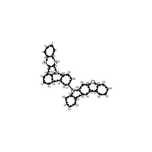 c1ccc2nc3c(nc2c1)c1cccc2c4cc(-n5c6ccccc6c6cc7c(cc65)oc5ccccc57)ccc4n3c21